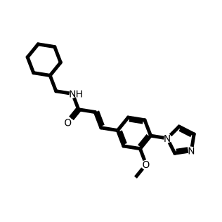 COc1cc(C=CC(=O)NCC2CCCCC2)ccc1-n1ccnc1